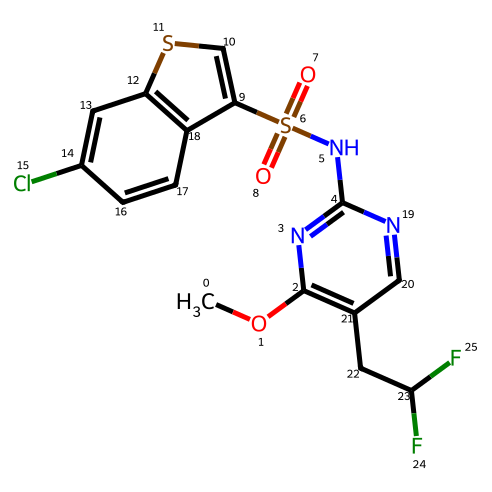 COc1nc(NS(=O)(=O)c2csc3cc(Cl)ccc23)ncc1CC(F)F